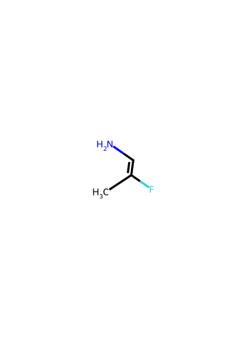 C/C(F)=C\N